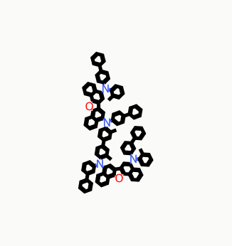 Cc1ccccc1N(c1ccc(-c2ccccc2)cc1)c1cc2c3cc(N(c4ccc(-c5ccccc5)cc4)c4ccc(-c5ccc(N(c6cccc(-c7ccccc7)c6)c6cc7c8cc(N(c9cccc(-c%10ccccc%10)c9)c9ccccc9C)c9ccccc9c8oc7c7ccccc67)c(C)c5)cc4C)c4ccccc4c3oc2c2ccccc12